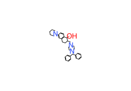 OC1c2ccc(N3CCCCC3)cc2CCC1CN1CCN(C(c2ccccc2)c2ccccc2)CC1